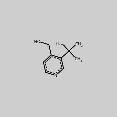 CC(C)(C)c1cnccc1CO